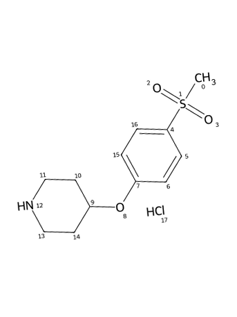 CS(=O)(=O)c1ccc(OC2CCNCC2)cc1.Cl